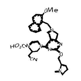 COc1ccc2ccccc2c1CN1Cc2nc(OCC3CCCN3C)nc(N3CCN(C(=O)O)C(CC#N)C3)c2C1